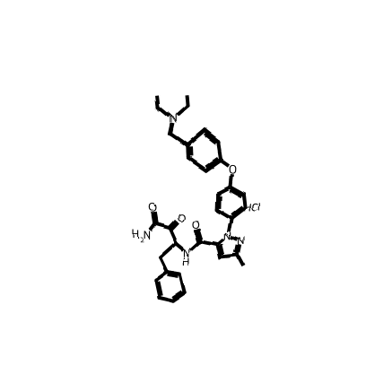 CCN(CC)Cc1ccc(Oc2ccc(-n3nc(C)cc3C(=O)NC(Cc3ccccc3)C(=O)C(N)=O)cc2)cc1.Cl